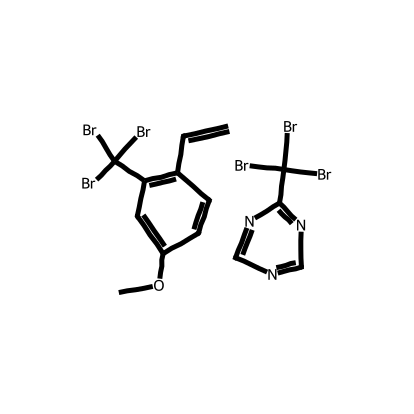 BrC(Br)(Br)c1ncncn1.C=Cc1ccc(OC)cc1C(Br)(Br)Br